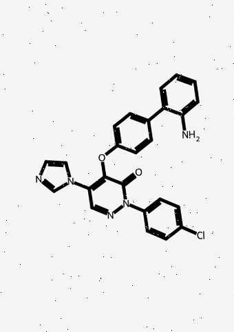 Nc1ccccc1-c1ccc(Oc2c(-n3ccnc3)cnn(-c3ccc(Cl)cc3)c2=O)cc1